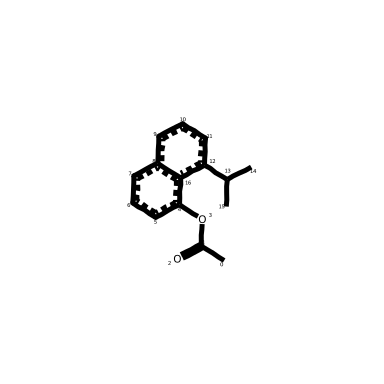 CC(=O)Oc1cccc2cccc(C(C)C)c12